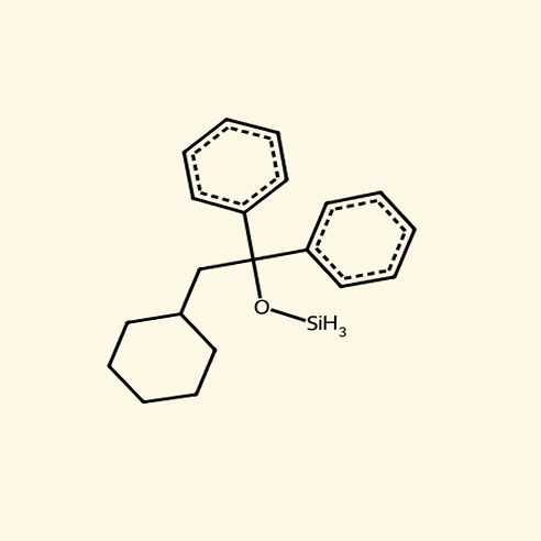 [SiH3]OC(CC1CCCCC1)(c1ccccc1)c1ccccc1